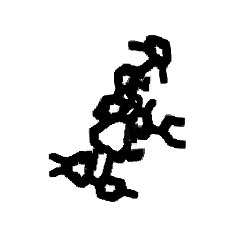 C=C1CC2c3cc(C)ccc3-c3cc(C)c(C)c[n+]3C2CCc2ccc3c(oc4nc(-c5c(C)cccc5C)ccc43)c2-c2cc(C)c(C(CC)CC)c[n+]21